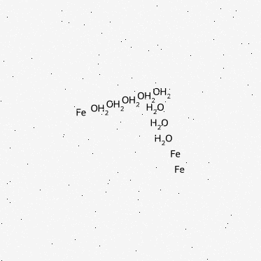 O.O.O.O.O.O.O.O.[Fe].[Fe].[Fe]